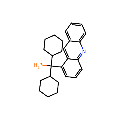 PC(c1cccc2nc3ccccc3cc12)(C1CCCCC1)C1CCCCC1